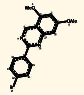 COc1cc(OC)c2cnc(-c3ccc(Br)cc3)nc2c1